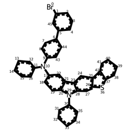 Brc1cccc(-c2ccc(N(c3ccccc3)c3ccc4c(c3)c3cc5c(cc3n4-c3ccccc3)sc3ccccc35)cc2)c1